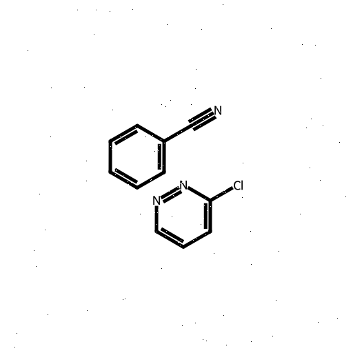 Clc1cccnn1.N#Cc1ccccc1